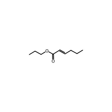 CCCC=CC(=O)OCCC